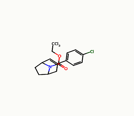 O=C(OCC(Cl)(Cl)Cl)N1C2C=C(c3ccc(Cl)cc3)CC1CC2